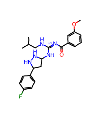 COc1cccc(C(=O)/N=C(/NCC(C)C)NC2CC(c3ccc(F)cc3)NN2)c1